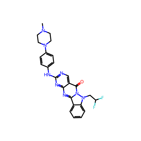 CN1CCN(c2ccc(Nc3ncc4c(=O)n5c(nc4n3)c3ccccc3n5CC(F)F)cc2)CC1